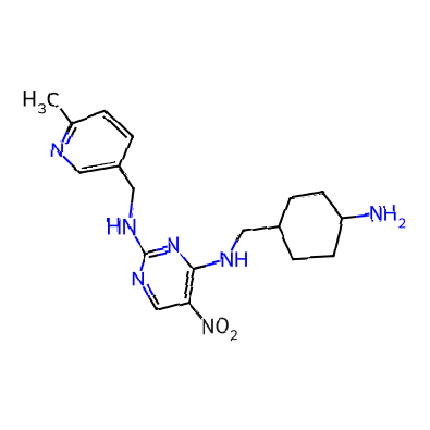 Cc1ccc(CNc2ncc([N+](=O)[O-])c(NCC3CCC(N)CC3)n2)cn1